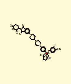 N#Cc1ccc(O[C@H]2C[C@H]3CC[C@@H](C2)N3C(=O)c2ccc(N3CCN(C4CCN(c5ccc6c(c5)C(=O)N(C5CCC(=O)NC5=O)C6=O)CC4)CC3)cc2)cc1Cl